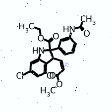 CCOC(=O)C1(c2cccc(NC(C)=O)c2)Nc2cc(Cl)cc(Cl)c2C1/C=C\C(=O)OC